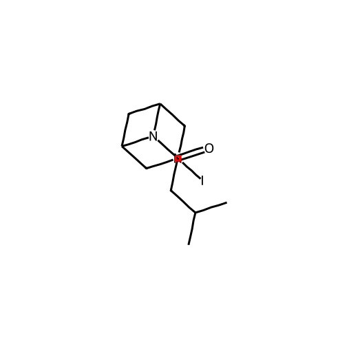 CC(C)CC(=O)N1C2CC1CN(I)C2